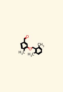 Cc1ccc(C=O)cc1OCc1c(C)cccc1C